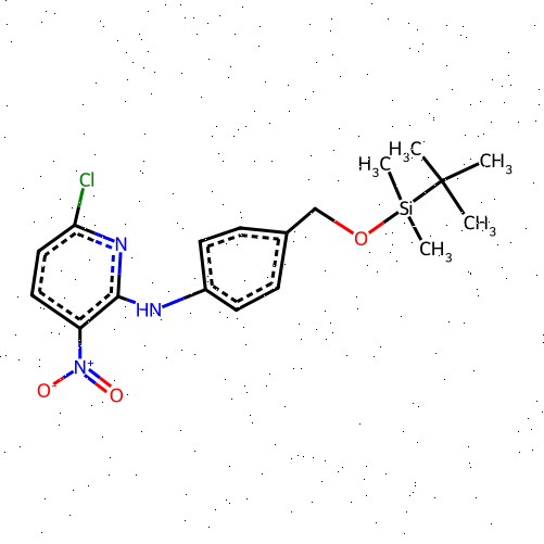 CC(C)(C)[Si](C)(C)OCc1ccc(Nc2nc(Cl)ccc2[N+](=O)[O-])cc1